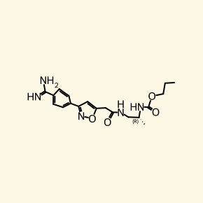 CCCOC(=O)N[C@H](C)CNC(=O)Cc1cc(-c2ccc(C(=N)N)cc2)no1